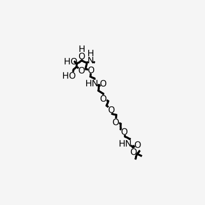 CNC1C(OCCNC(=O)CCOCCOCCOCCOCCNC(=O)OC(C)(C)C)OC(CO)C(O)C1O